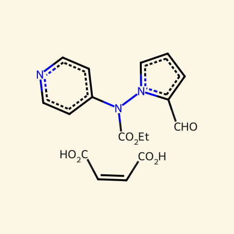 CCOC(=O)N(c1ccncc1)n1cccc1C=O.O=C(O)/C=C\C(=O)O